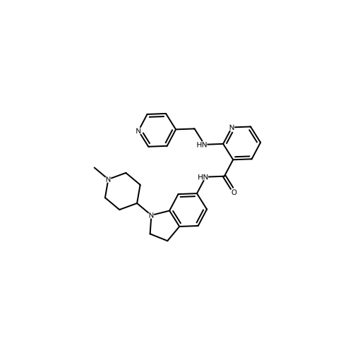 CN1CCC(N2CCc3ccc(NC(=O)c4cccnc4NCc4ccncc4)cc32)CC1